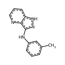 Cc1cccc(Nc2n[nH]c3cccnc23)c1